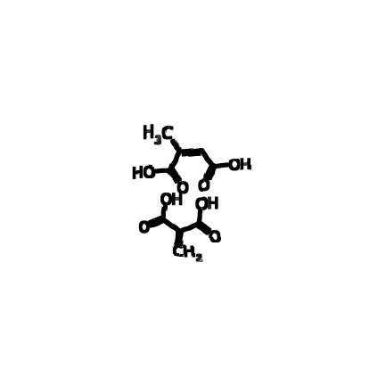 C/C(=C/C(=O)O)C(=O)O.C=C(C(=O)O)C(=O)O